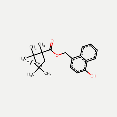 CC(C)(C)CC(C)(C(=O)OCc1ccc(O)c2ccccc12)C(C)(C)C